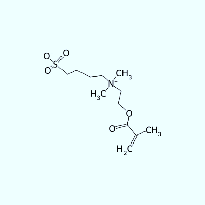 C=C(C)C(=O)OCC[N+](C)(C)CCCCS(=O)(=O)[O-]